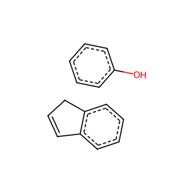 C1=Cc2ccccc2C1.Oc1ccccc1